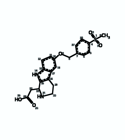 CS(=O)(=O)c1ccc(COc2ccc3[nH]c4c(c3c2)CCNC4CC(=O)O)cc1